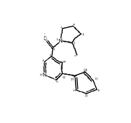 CC1CCCN1C(=O)c1cncc(-c2ccccc2)c1